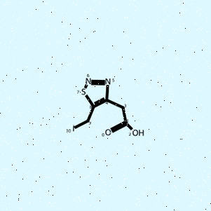 O=C(O)Cc1nnsc1CI